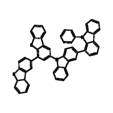 C1=CC2Sc3ccc(-c4cc(-n5c6ccccc6c6cc(-c7cccc8c9ccccc9n(-c9ccccc9)c78)ccc65)cc5c4sc4ccccc45)cc3C2C=C1